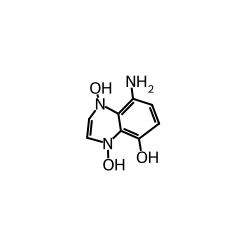 Nc1ccc(O)c2c1N(O)C=CN2O